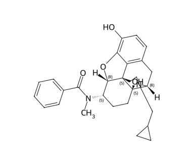 CN(C(=O)c1ccccc1)[C@H]1CC[C@@]2(O)[C@H]3Cc4ccc(O)c5c4[C@@]2(CCN3CC2CC2)[C@H]1O5